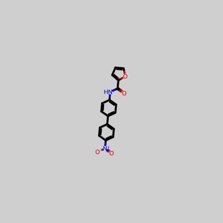 O=C(Nc1ccc(-c2ccc([N+](=O)[O-])cc2)cc1)c1ccco1